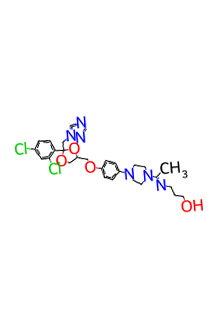 C/C(=N\CCCO)N1CCN(c2ccc(OCC3COC(Cn4cncn4)(c4ccc(Cl)cc4Cl)O3)cc2)CC1